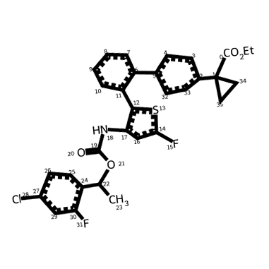 CCOC(=O)C1(c2ccc(-c3ccccc3-c3sc(F)cc3NC(=O)OC(C)c3ccc(Cl)cc3F)cc2)CC1